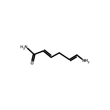 NC=CCC=CC(N)=O